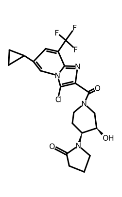 O=C(c1nc2c(C(F)(F)F)cc(C3CC3)cn2c1Cl)N1CC[C@H](N2CCCC2=O)[C@H](O)C1